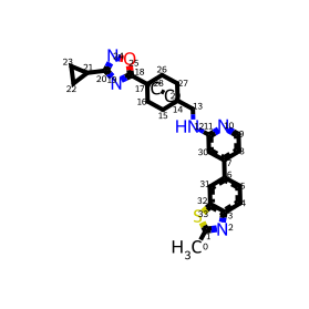 Cc1nc2ccc(-c3ccnc(NCC45CCC(c6nc(C7CC7)no6)(CC4)CC5)c3)cc2s1